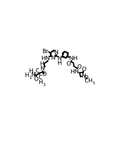 CON1C[C@H](NC(=O)CCC(=O)Nc2cccc(Nc3ncc(Br)c(NCCCNC(=O)C(C)(C)C(N)=O)n3)c2)C1=O